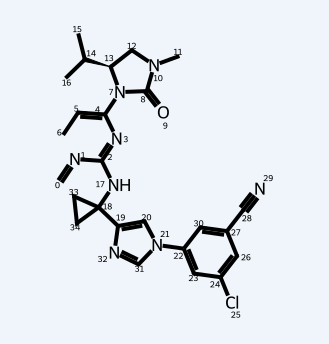 C=N/C(=N\C(=C/C)N1C(=O)N(C)C[C@@H]1C(C)C)NC1(c2cn(-c3cc(Cl)cc(C#N)c3)cn2)CC1